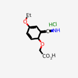 CCOC1=CC(=C=N)C(OCC(=O)O)C=C1.Cl